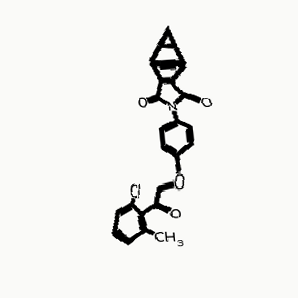 Cc1cccc(Cl)c1C(=O)COc1ccc(N2C(=O)C3C4C=CC(C5CC45)C3C2=O)cc1